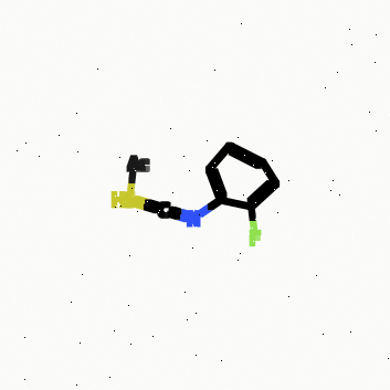 CC(=O)[SH]=C=Nc1ccccc1F